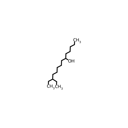 CCCCCC(O)CCCCCC(CC)CC